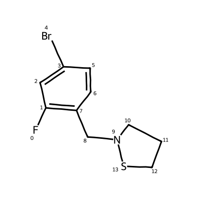 Fc1cc(Br)ccc1CN1CCCS1